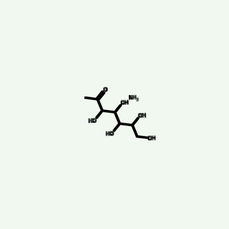 CC(=O)C(O)C(O)C(O)C(O)CO.N